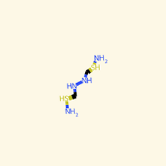 N[SH]=CNNC=[SH]N